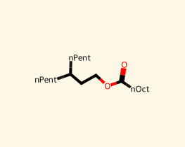 C[CH]CCCCCCC(=O)OCCC(CCCCC)CCCCC